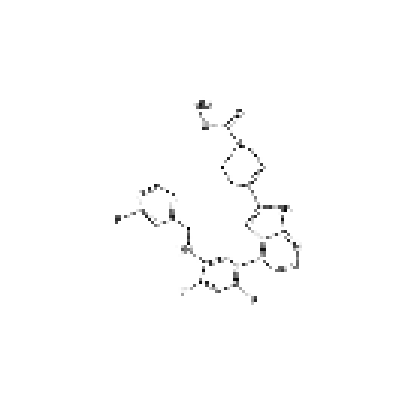 CC(C)(C)OC(=O)N1CC=C(c2cc3c(-c4cc(NCc5cccc(F)c5)c(F)cc4F)ccnc3[nH]2)CC1